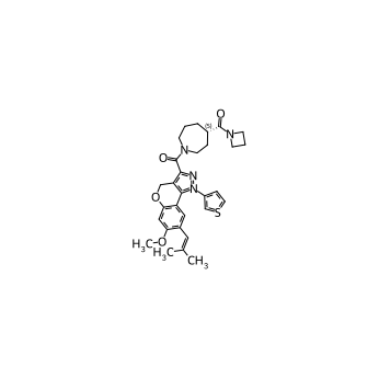 COc1cc2c(cc1C=C(C)C)-c1c(c(C(=O)N3CCC[C@H](C(=O)N4CCC4)CC3)nn1-c1ccsc1)CO2